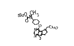 CN(C(=O)OC(C)(C)C)[C@H]1CC[C@@H](Oc2ncnc3sc4c(c23)[C@@H](CC=O)CC4)CC1